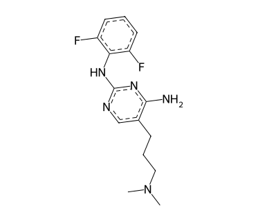 CN(C)CCCc1cnc(Nc2c(F)cccc2F)nc1N